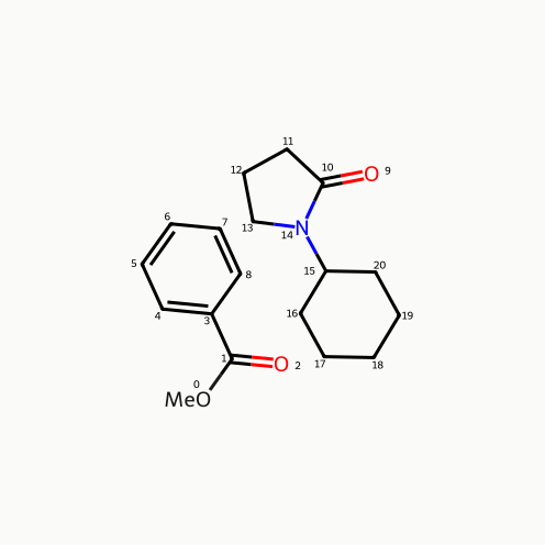 COC(=O)c1ccccc1.O=C1CCCN1C1CCCCC1